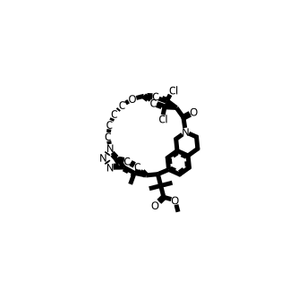 COC(=O)C(C)(C)C1c2ccc3c(c2)CN(CC3)C(=O)c2c(Cl)cc(cc2Cl)OCCCCn2nnc3c(C)c1ccc32